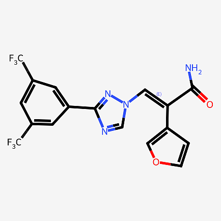 NC(=O)/C(=C/n1cnc(-c2cc(C(F)(F)F)cc(C(F)(F)F)c2)n1)c1ccoc1